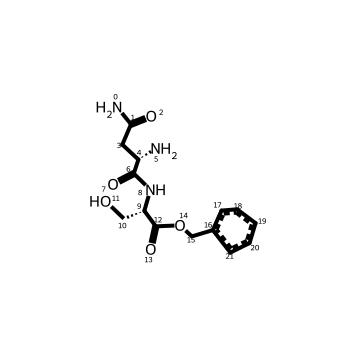 NC(=O)C[C@H](N)C(=O)N[C@@H](CO)C(=O)OCc1ccccc1